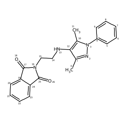 Cc1nn(-c2ccccc2)c(C)c1NCCN1C(=O)c2ccccc2C1=O